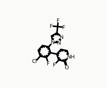 O=c1[nH]ccc(-c2c(-n3cc(C(F)(F)F)nn3)ccc(Cl)c2F)c1F